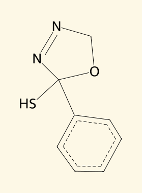 SC1(c2ccccc2)N=NCO1